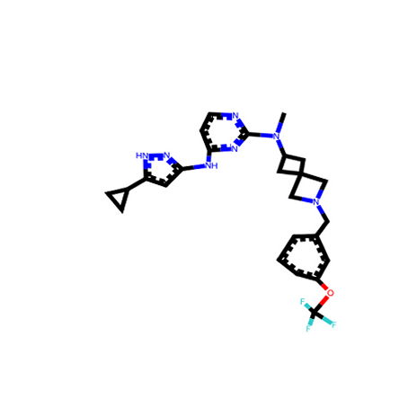 CN(c1nccc(Nc2cc(C3CC3)[nH]n2)n1)C1CC2(C1)CN(Cc1cccc(OC(F)(F)F)c1)C2